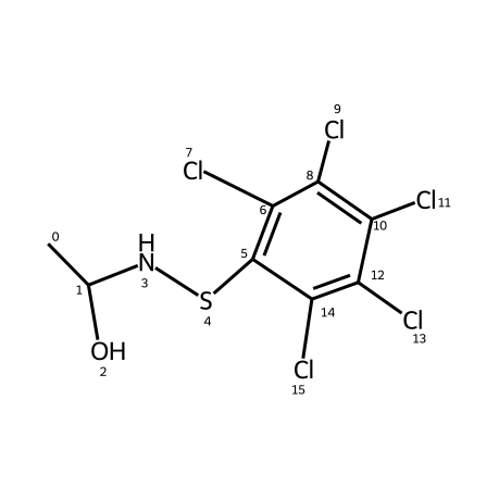 CC(O)NSc1c(Cl)c(Cl)c(Cl)c(Cl)c1Cl